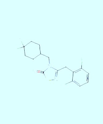 O=c1snc(Cc2c(F)cccc2Cl)n1CC1CCC(F)(F)CC1